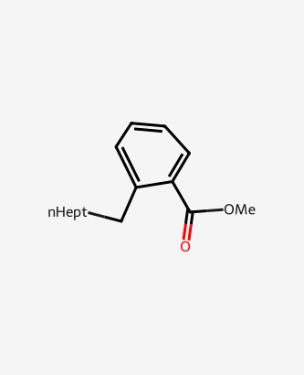 CCCCCCCCc1ccccc1C(=O)OC